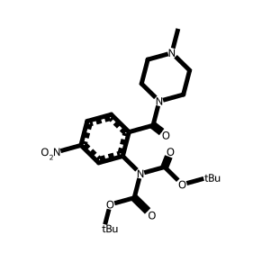 CN1CCN(C(=O)c2ccc([N+](=O)[O-])cc2N(C(=O)OC(C)(C)C)C(=O)OC(C)(C)C)CC1